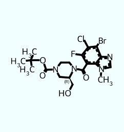 Cn1cnc2c(Br)c(Cl)c(F)c(C(=O)N3CCN(C(=O)OC(C)(C)C)C[C@@H]3CO)c21